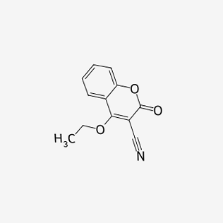 CCOc1c(C#N)c(=O)oc2ccccc12